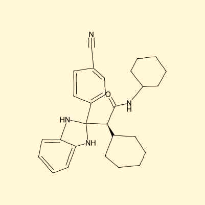 N#Cc1ccc(C2([C@@H](C(=O)NC3CCCCC3)C3CCCCC3)Nc3ccccc3N2)cc1